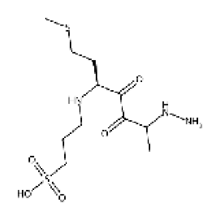 CSCC[C@H](NCCCS(=O)(=O)O)C(=O)C(=O)C(C)NN